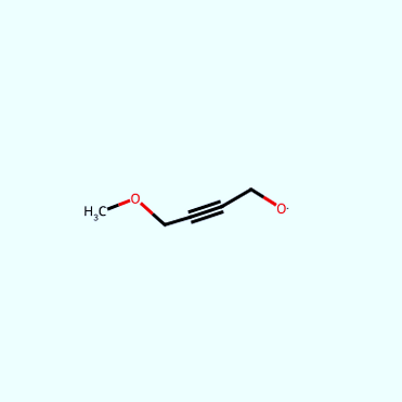 COCC#CC[O]